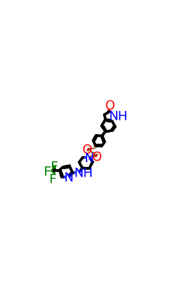 O=C1Cc2cc(-c3ccc(S(=O)(=O)N4CCC(Nc5ccc(C(F)(F)F)cn5)CC4)cc3)ccc2N1